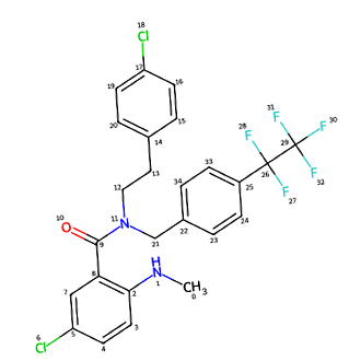 CNc1ccc(Cl)cc1C(=O)N(CCc1ccc(Cl)cc1)Cc1ccc(C(F)(F)C(F)(F)F)cc1